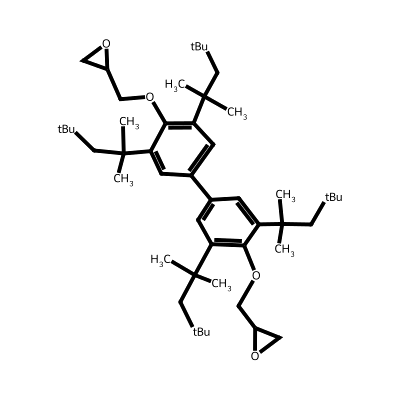 CC(C)(C)CC(C)(C)c1cc(-c2cc(C(C)(C)CC(C)(C)C)c(OCC3CO3)c(C(C)(C)CC(C)(C)C)c2)cc(C(C)(C)CC(C)(C)C)c1OCC1CO1